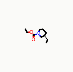 CCOC(=O)N1CCC[C@@H](CC)C1